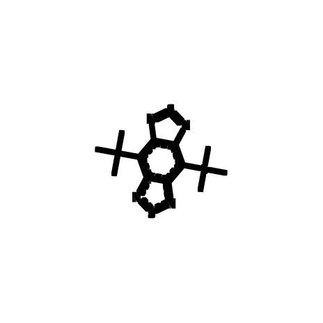 CC(C)(C)c1c2c(c(S(C)(C)C)c3nsnc13)N=S=N2